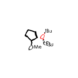 CC(C)(C)OC(C)(C)C.COC1CCCC1